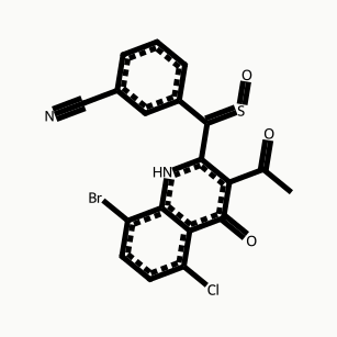 CC(=O)c1c(C(=S=O)c2cccc(C#N)c2)[nH]c2c(Br)ccc(Cl)c2c1=O